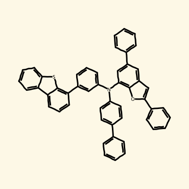 c1ccc(-c2ccc(N(c3cccc(-c4cccc5c4sc4ccccc45)c3)c3cc(-c4ccccc4)cc4cc(-c5ccccc5)oc34)cc2)cc1